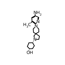 Cc1cc(N)cnc1N1CCC2(CC1)CCN([C@H]1CC[C@@H](O)CC1)C2